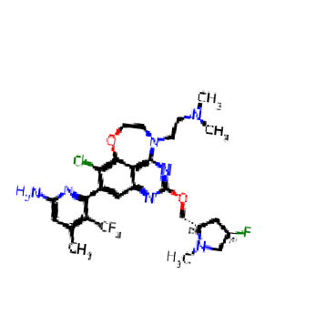 Cc1cc(N)nc(-c2cc3nc(OC[C@@H]4C[C@@H](F)CN4C)nc4c3c(c2Cl)OCCN4CCN(C)C)c1C(F)(F)F